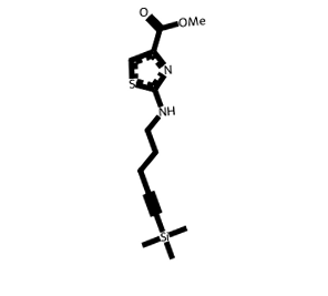 COC(=O)c1csc(NCCCC#C[Si](C)(C)C)n1